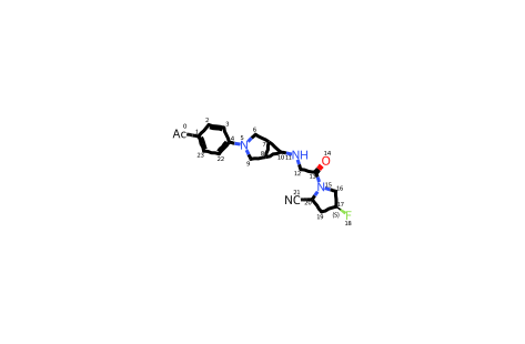 CC(=O)c1ccc(N2CC3C(C2)C3NCC(=O)N2C[C@@H](F)CC2C#N)cc1